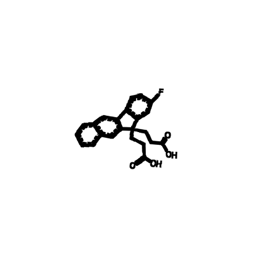 O=C(O)CCC1(CCC(=O)O)c2cc(F)ccc2-c2cc3ccccc3cc21